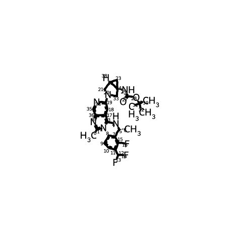 Cc1nc(N[C@H](C)c2cccc(C(F)F)c2F)c2cc(N3C[C@@H]4C[C@]4(NC(=O)OC(C)(C)C)C3)ncc2n1